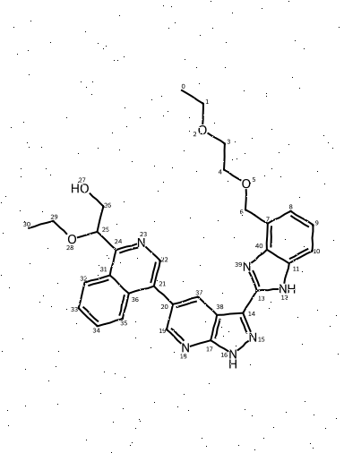 CCOCCOCc1cccc2[nH]c(-c3n[nH]c4ncc(-c5cnc(C(CO)OCC)c6ccccc56)cc34)nc12